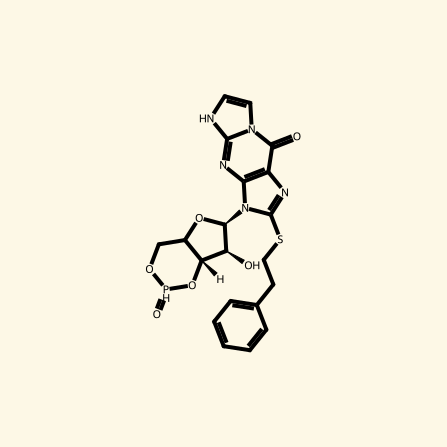 O=c1c2nc(SCCc3ccccc3)n([C@@H]3OC4CO[PH](=O)O[C@H]4[C@@H]3O)c2nc2[nH]ccn12